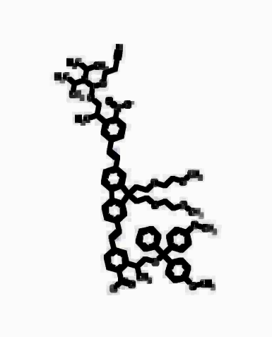 COCCOCCC1(CCOCCOC)c2cc(/C=C/c3ccc([N+](=O)[O-])c(C(C)COP(OCCC#N)N(C(C)C)C(C)C)c3)ccc2-c2ccc(/C=C/c3ccc([N+](=O)[O-])c(C(C)COC(c4ccccc4)(c4ccc(OC)cc4)c4ccc(OC)cc4)c3)cc21